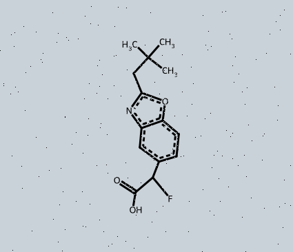 CC(C)(C)Cc1nc2cc(C(F)C(=O)O)ccc2o1